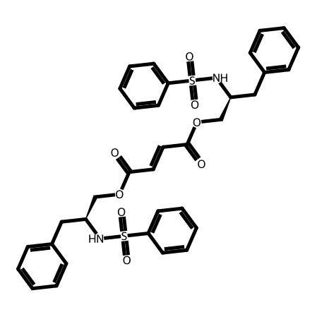 O=C(/C=C/C(=O)OC[C@H](Cc1ccccc1)NS(=O)(=O)c1ccccc1)OC[C@H](Cc1ccccc1)NS(=O)(=O)c1ccccc1